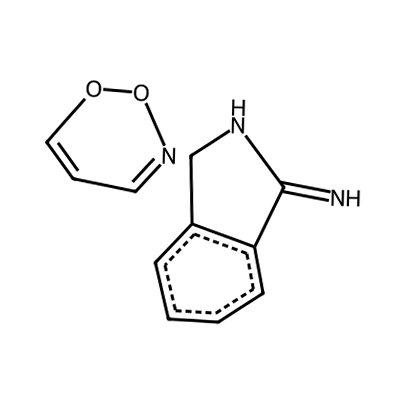 C1=COON=C1.N=C1NCc2ccccc21